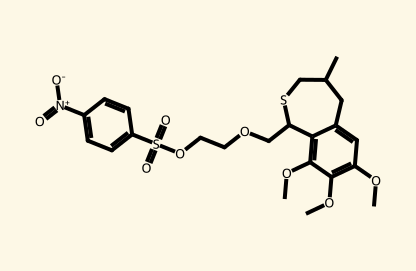 COc1cc2c(c(OC)c1OC)C(COCCOS(=O)(=O)c1ccc([N+](=O)[O-])cc1)SCC(C)C2